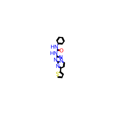 O=C(Nc1ccccc1)Nc1nc2nc(-c3cccs3)ccn2n1